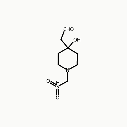 O=CCC1(O)CCN(C[SH](=O)=O)CC1